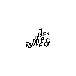 CN(c1nc(OCC23CCCN2CCC3)nc2c(F)c(-c3cccc4cccc(Cl)c34)ncc12)[C@H]1CN[C@H](CC#N)C1